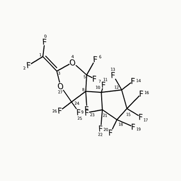 FC(F)=C1OC(F)(F)C(F)(C2(F)C(F)(F)C(F)(F)C(F)(F)C2(F)F)C(F)(F)O1